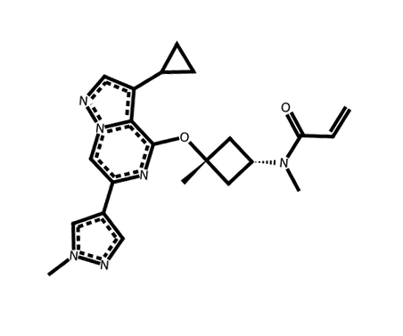 C=CC(=O)N(C)[C@H]1C[C@@](C)(Oc2nc(-c3cnn(C)c3)cn3ncc(C4CC4)c23)C1